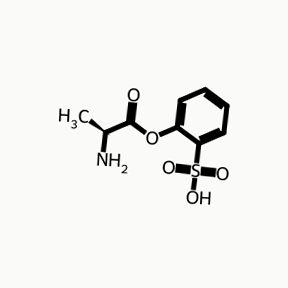 C[C@H](N)C(=O)Oc1ccccc1S(=O)(=O)O